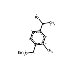 CCOC(=O)Cc1ccc(C(C)O)cc1C